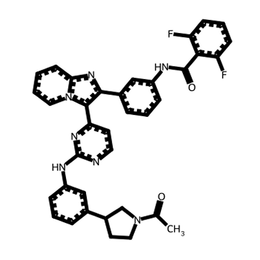 CC(=O)N1CCC(c2cccc(Nc3nccc(-c4c(-c5cccc(NC(=O)c6c(F)cccc6F)c5)nc5ccccn45)n3)c2)C1